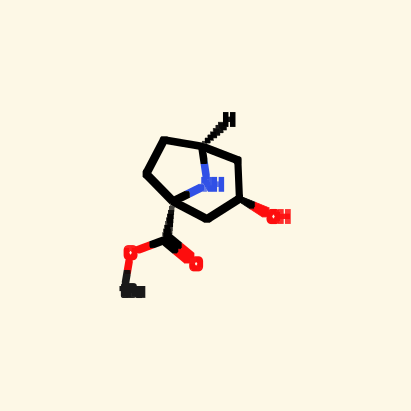 CC(C)(C)OC(=O)[C@@]12CC[C@@H](C[C@@H](O)C1)N2